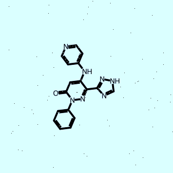 O=c1cc(Nc2ccncc2)c(-c2nc[nH]n2)nn1-c1ccccc1